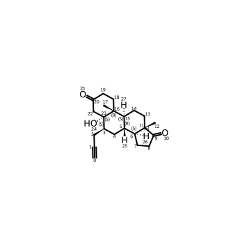 C#CC[C@@H]1C[C@H]2[C@@H]3CCC(=O)[C@@]3(C)CC[C@@H]2[C@@]2(C)CCC(=O)C[C@]12O